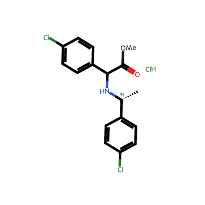 COC(=O)C(N[C@H](C)c1ccc(Cl)cc1)c1ccc(Cl)cc1.Cl